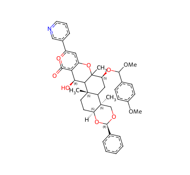 COc1ccc(C(OC)O[C@H]2CC3[C@](C)(CC[C@@H]4O[C@H](c5ccccc5)OC[C@]34C)C3[C@@H](O)c4c(cc(-c5cccnc5)oc4=O)OC32C)cc1